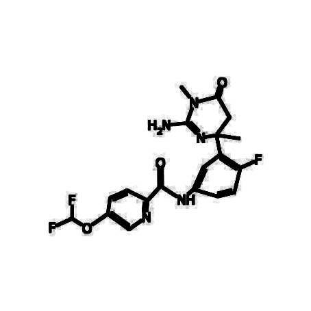 CN1C(=O)CC(C)(c2cc(NC(=O)c3ccc(OC(F)F)cn3)ccc2F)N=C1N